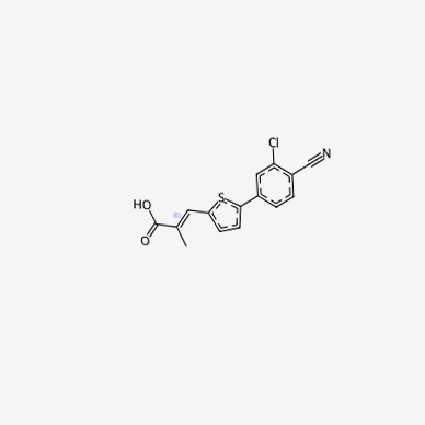 C/C(=C\c1ccc(-c2ccc(C#N)c(Cl)c2)s1)C(=O)O